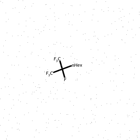 CCCCCCC(F)(C(F)(F)F)C(F)(F)F